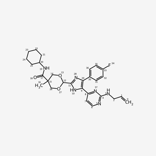 C=CCNc1nccc(-c2[nH]c(C3OCC(C)(C(=O)NC4CCCCC4)CO3)nc2-c2ccc(F)cc2)n1